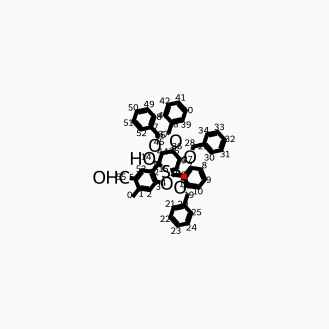 Cc1cc(OCc2ccccc2)c([C@]2(O)S[C@H](COCc3ccccc3)[C@@H](OCc3ccccc3)[C@H](OCc3ccccc3)[C@H]2OCc2ccccc2)cc1C=O